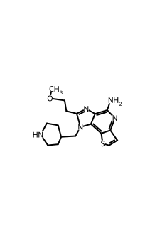 COCCc1nc2c(N)nc3ccsc3c2n1CC1CCNCC1